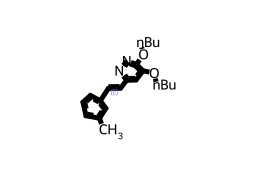 CCCCOc1cc(/C=C/c2cccc(C)c2)nnc1OCCCC